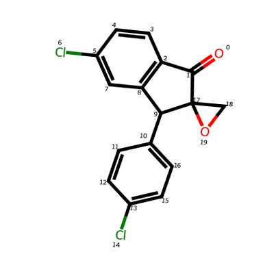 O=C1c2ccc(Cl)cc2C(c2ccc(Cl)cc2)C12CO2